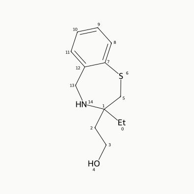 CCC1(CCO)CSc2ccccc2CN1